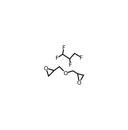 C(OCC1CO1)C1CO1.FCC(F)C(F)F